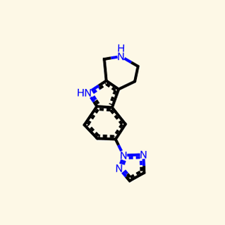 c1cnn(-c2ccc3[nH]c4c(c3c2)CCNC4)n1